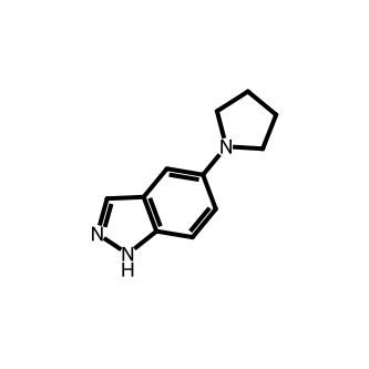 c1cc2[nH]ncc2cc1N1CCCC1